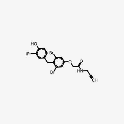 C#CCNC(=O)COc1cc(Br)c(Cc2ccc(O)c(C(C)C)c2)c(Br)c1